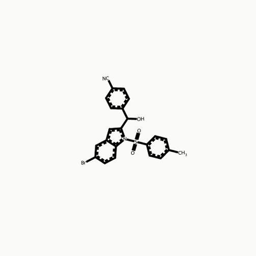 Cc1ccc(S(=O)(=O)n2c(C(O)c3ccc(C#N)cc3)cc3cc(Br)ccc32)cc1